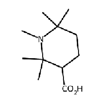 CN1C(C)(C)CCC(C(=O)O)C1(C)C